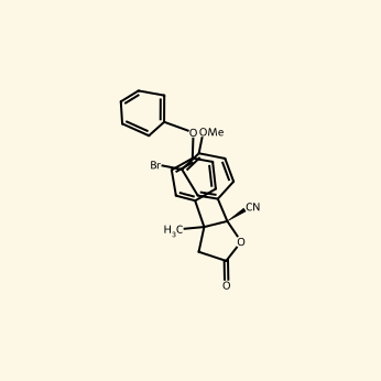 COc1ccc([C@]2(C#N)OC(=O)CC2(C)c2ccc(Oc3ccccc3)cc2)cc1Br